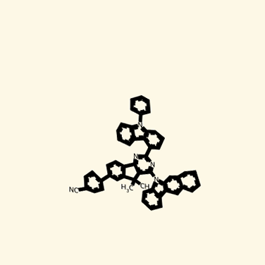 CC1(C)c2cc(-c3ccc(C#N)cc3)ccc2-c2nc(-c3cccc4c3c3ccccc3n4-c3ccccc3)nc(-n3c4ccccc4c4cc5ccccc5cc43)c21